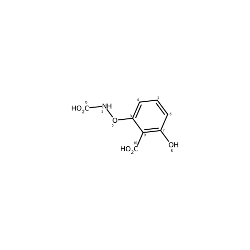 O=C(O)NOc1cccc(O)c1C(=O)O